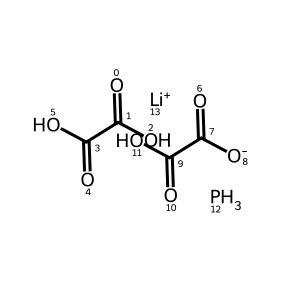 O=C(O)C(=O)O.O=C([O-])C(=O)O.P.[Li+]